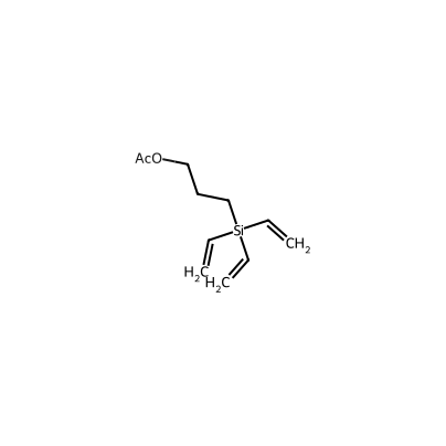 C=C[Si](C=C)(C=C)CCCOC(C)=O